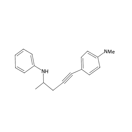 CNc1ccc(C#CCC(C)Nc2ccccc2)cc1